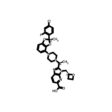 C[C@@H](c1nc2ccc(C(=O)O)nc2n1C[C@@H]1CCO1)N1CCN(c2cccc3c2O[C@@](C)(c2ccc(Cl)cc2F)O3)CC1